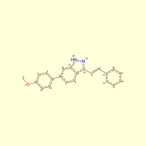 COc1ccc(-c2ccc3c(/C=C/c4ccccc4)n[nH]c3c2)cc1